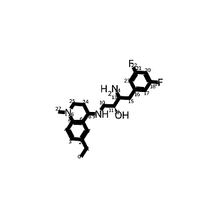 CCc1ccc2c(c1)C(NC[C@@H](O)C(N)Cc1cc(F)cc(F)c1)CCN2C